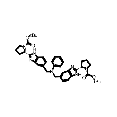 CC(C)(C)OC(=O)N1CCC[C@H]1c1nc2cc(CN(Cc3ccc4[nH]c([C@@H]5CCCN5C(=O)OC(C)(C)C)nc4c3)c3ccccc3)ccc2[nH]1